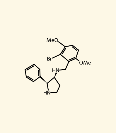 COc1ccc(OC)c(CN[C@H]2CCN[C@H]2c2ccccc2)c1Br